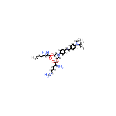 CCCCCC(N)C(=O)OCCN(CCOC(=O)C(N)CCCCN)c1ccc(/C=C/c2ccc(N(CC)CC)cc2)cc1